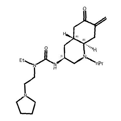 C=C1C[C@@H]2[C@@H](CC1=O)C[C@H](NC(=O)N(CC)CCN1CCCC1)CN2CCC